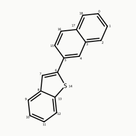 c1ccc2cc(-c3cc4ccccc4s3)ccc2c1